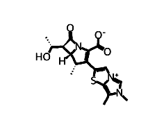 Cc1c2sc(C3=C(C(=O)[O-])N4C(=O)[C@H]([C@@H](C)O)[C@H]4[C@H]3C)c[n+]2cn1C